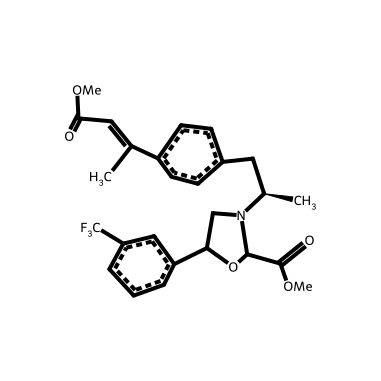 COC(=O)/C=C(\C)c1ccc(C[C@@H](C)N2CC(c3cccc(C(F)(F)F)c3)OC2C(=O)OC)cc1